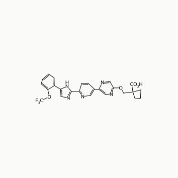 O=C(O)C1(COc2cnc(-c3ccc(-c4ncc(-c5ccccc5OC(F)(F)F)[nH]4)nc3)cn2)CCC1